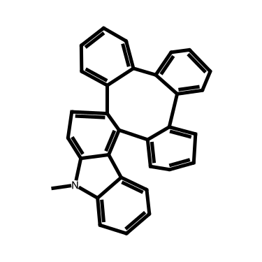 Cn1c2ccccc2c2c3c(ccc21)-c1ccccc1-c1ccccc1-c1ccccc1-3